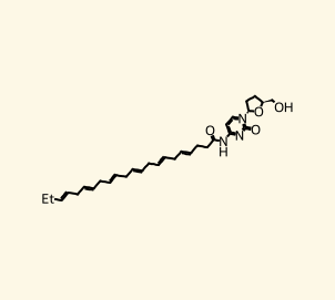 CCC=CCC=CCC=CCC=CCC=CCC=CCCC(=O)Nc1ccn([C@@H]2CC[C@@H](CO)O2)c(=O)n1